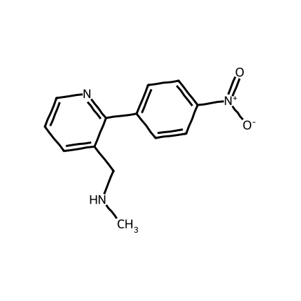 CNCc1cccnc1-c1ccc([N+](=O)[O-])cc1